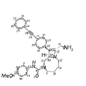 COc1ccc(NC(=O)N2CCCCN3[C@@H](CN)[C@H](c4ccc(C#Cc5ccccc5)cc4)[C@@H]3C2)cc1